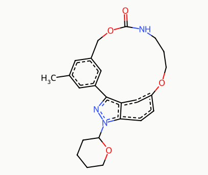 Cc1cc2cc(c1)-c1nn(C3CCCCO3)c3ccc(cc13)OCCCNC(=O)OC2